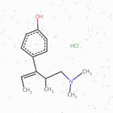 CC=C(c1ccc(O)cc1)C(C)CN(C)C.Cl